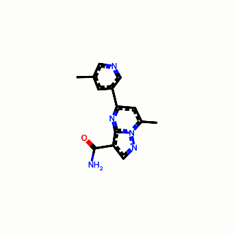 Cc1cncc(-c2cc(C)n3ncc(C(N)=O)c3n2)c1